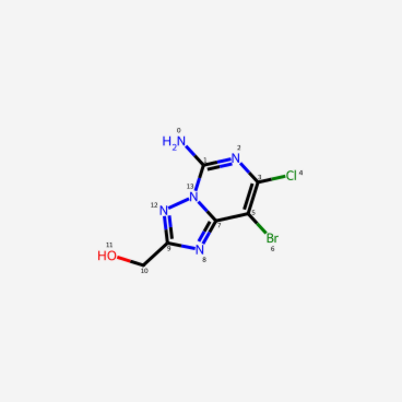 Nc1nc(Cl)c(Br)c2nc(CO)nn12